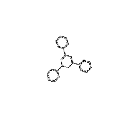 C1=C(c2ccccc2)C=C(c2ccccc2)C[C]1c1ccccc1